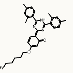 Cc1ccc(C2=NC(=C3C=CC(OCCCCCC(C)C)=CC3=O)N=C(c3ccc(C)cc3C)N2)c(C)c1